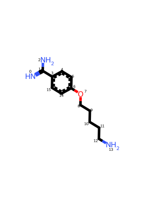 N=C(N)c1ccc(OCCCCCN)cc1